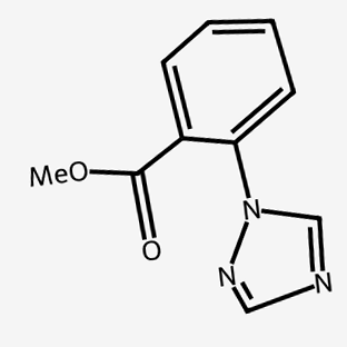 COC(=O)c1ccccc1-n1cncn1